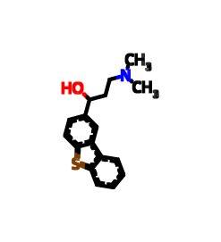 CN(C)CCC(O)c1ccc2sc3ccccc3c2c1